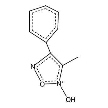 Cc1c(-c2ccccc2)no[n+]1O